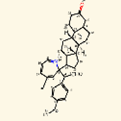 CC1=CC(C(C=O)c2ccc(CC(C)C)cc2)(C2CC[C@H]3[C@@H]4CCC5CC(=O)CC[C@]5(C)[C@H]4CC[C@]23C)N=CC=C1